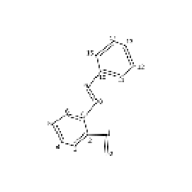 C=Cc1ccccc1/C=C/c1ccccc1